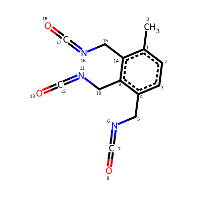 Cc1ccc(CN=C=O)c(CN=C=O)c1CN=C=O